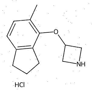 Cc1ccc2c(c1OC1CNC1)CCC2.Cl